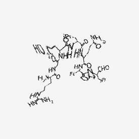 CCC(NC(=O)C(CCC(N)=O)NC(=O)C(CC(C)C)NC(=O)C(CC(=O)O)NC(=O)CNC(=O)C(N)CCCNC(=N)N)C(=O)NC(C=O)CC(C)C